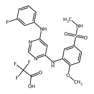 CNS(=O)(=O)c1ccc(OC)c(Nc2cc(Nc3cccc(F)c3)ncn2)c1.O=C(O)C(F)(F)F